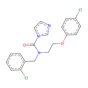 O=C(N(CCOc1ccc(Cl)cc1)Cc1ccccc1Cl)n1ccnc1